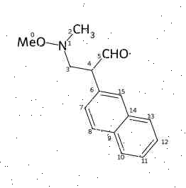 CON(C)CC([C]=O)c1ccc2ccccc2c1